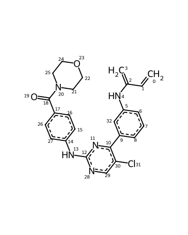 C=CC(=C)Nc1cccc(-c2nc(Nc3ccc(C(=O)N4CCOCC4)cc3)ncc2Cl)c1